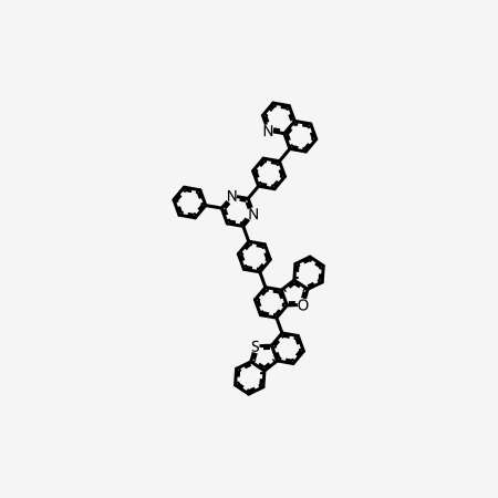 c1ccc(-c2cc(-c3ccc(-c4ccc(-c5cccc6c5sc5ccccc56)c5oc6ccccc6c45)cc3)nc(-c3ccc(-c4cccc5cccnc45)cc3)n2)cc1